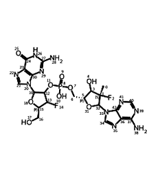 C[C@]1(F)C(O)[C@@H](COP(=O)(O)OC2C(F)[C@@H](CO)OC2n2cnc3c(=O)[nH]c(N)nc32)OC1n1cnc2c(N)ncnc21